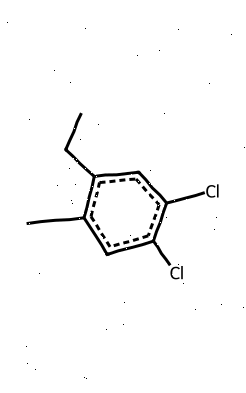 CCc1cc(Cl)c(Cl)cc1C